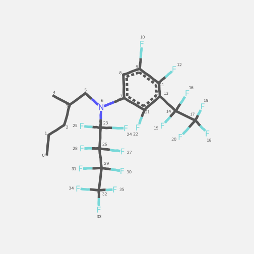 CCCC(C)CN(c1cc(F)c(F)c(C(F)(F)C(F)(F)F)c1F)C(F)(F)C(F)(F)C(F)(F)C(F)(F)F